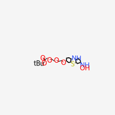 CC(C)(C)OC(=O)COCCOCCOc1ccc2c(c1)Sc1cc(NO)ccc1N2